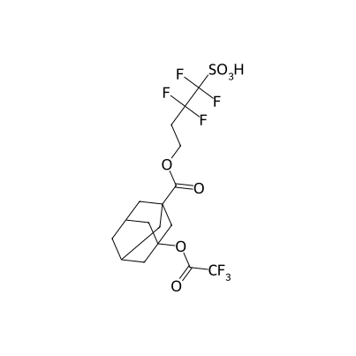 O=C(OC12CC3CC(C1)CC(C(=O)OCCC(F)(F)C(F)(F)S(=O)(=O)O)(C3)C2)C(F)(F)F